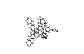 CC(C)(C)c1ccc(N2c3cc(C(C)(C)C)cc4c3B(c3cc(C5CCCCC5)ccc3N4c3ccc(C4CCCCC4)cc3)c3sc4c(c32)C(C)(C)CCC4(C)C)c(C2=CCCC=C2)c1